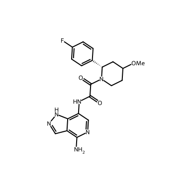 COC1CCN(C(=O)C(=O)Nc2cnc(N)c3cn[nH]c23)[C@H](c2ccc(F)cc2)C1